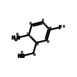 NC1C=CC(F)=CC1CO